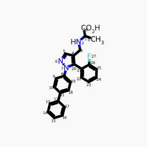 CC(NCc1cnn(-c2ccc(-c3ccccc3)cc2)c1-c1ccccc1F)C(=O)O